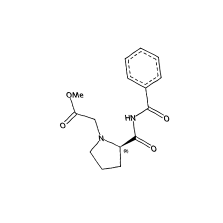 COC(=O)CN1CCC[C@@H]1C(=O)NC(=O)c1ccccc1